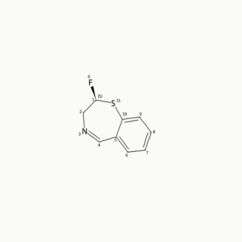 F[C@@H]1CN=Cc2ccccc2S1